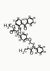 C=CC(=O)N(CCOc1ccc(C[C@H](Nc2ccccc2C(=O)c2ccccc2)C(=O)OC)cc1)c1ccccc1